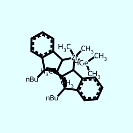 CCCCC1=C(C)[CH]([Zr]([CH3])([CH3])([CH]2C(C)=C(CCCC)c3ccccc32)[GeH]([CH3])[CH3])c2ccccc21